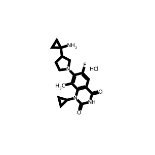 Cc1c(N2CCC(C3(N)CC3)C2)c(F)cc2c(=O)[nH]c(=O)n(C3CC3)c12.Cl